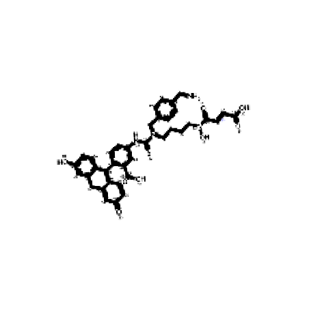 NCc1ccc(CN(CCCCN(O)C(=O)/C=C/C(=O)O)C(=S)Nc2ccc(C3=C4C=CC(=O)C=C4Cc4cc(O)ccc43)c(C(=O)O)c2)cc1